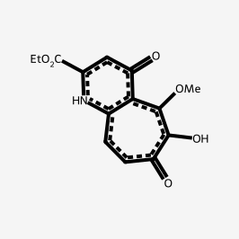 CCOC(=O)c1cc(=O)c2c(OC)c(O)c(=O)ccc2[nH]1